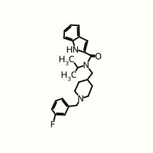 CC(C)N(CC1CCN(Cc2cccc(F)c2)CC1)C(=O)c1cc2ccccc2[nH]1